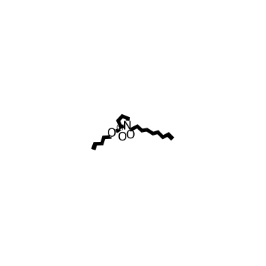 C=CCCCCCCC(=O)N1CCC[C@H]1C(=O)OCCCC=C